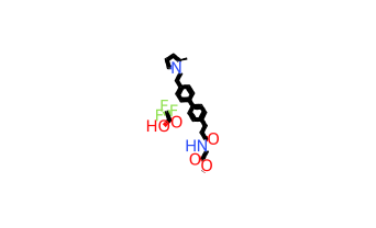 COC(=O)CNC(=O)CCc1ccc(-c2ccc(CCN3CCC[C@H]3C)cc2)cc1.O=C(O)C(F)(F)F